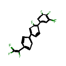 FC(F)=C(F)c1ccc(-c2ccc(-c3cc(F)c(F)c(F)c3)c(F)c2)cc1